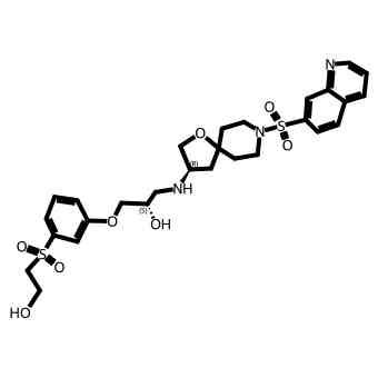 O=S(=O)(CCO)c1cccc(OC[C@@H](O)CN[C@H]2COC3(CCN(S(=O)(=O)c4ccc5cccnc5c4)CC3)C2)c1